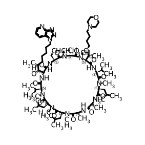 CC[C@@H]1NC(=O)[C@H]([C@H](O)[C@H](C)CCCCCn2nnc3ncccc32)NC(=O)[C@H](C(C)C)N(C)C(=O)[C@H](CC(C)C)N(C)C(=O)[C@H](CC(C)C)N(C)C(=O)[C@@H](C)NC(=O)[C@H](C)NC(=O)[C@H](CC(C)C)N(C)C(=O)[C@H](C(C)C)NC(=O)[C@H]([C@@H](C)OCCCCN2CCOCC2)N(C)C(=O)[C@@H](C)N(C)C1=O